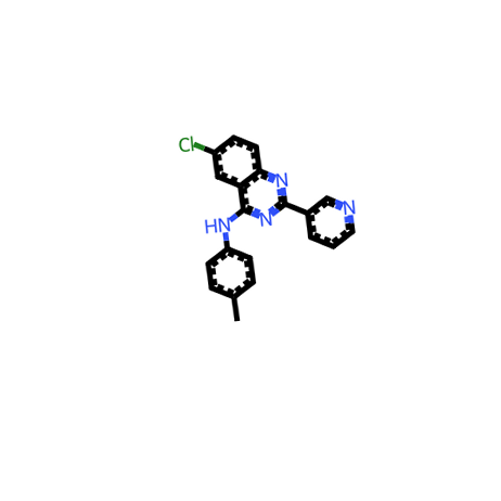 Cc1ccc(Nc2nc(-c3cccnc3)nc3ccc(Cl)cc23)cc1